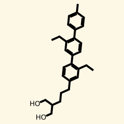 CCc1cc(CCCC(CO)CO)ccc1-c1ccc(-c2ccc(C)cc2)c(CC)c1